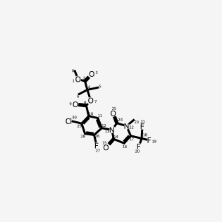 COC(=O)C(C)(C)OC(=O)c1cc(-n2c(=O)cc(C(F)(F)F)n(C)c2=O)c(F)cc1Cl